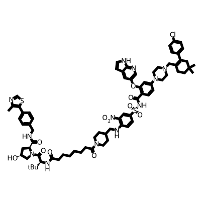 Cc1ncsc1-c1ccc(CNC(=O)[C@@H]2C[C@@H](O)CN2C(=O)[C@@H](NC(=O)CCCCCCC(=O)N2CCC(CNc3ccc(S(=O)(=O)NC(=O)c4ccc(N5CCN(CC6=C(c7ccc(Cl)cc7)CC(C)(C)CC6)CC5)cc4Oc4cnc5[nH]ccc5c4)cc3[N+](=O)[O-])CC2)C(C)(C)C)cc1